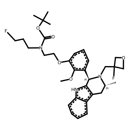 COc1c(OCCN(CCCF)C(=O)OC(C)(C)C)cccc1[C@@H]1c2[nH]c3ccccc3c2C[C@@H](C)N1CC1(F)COC1